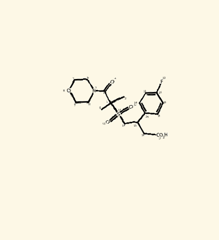 CC(C)(C(=O)N1CCOCC1)S(=O)(=O)CC(CC(=O)O)c1ccc(F)cc1